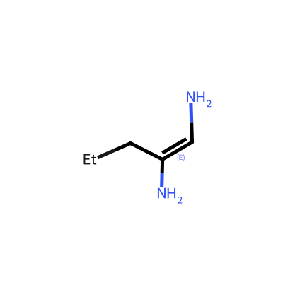 CCC/C(N)=C\N